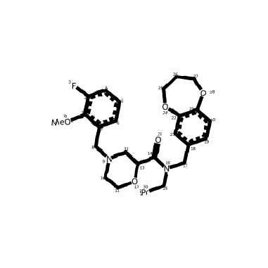 COc1c(F)cccc1CN1CCOC(C(=O)N(Cc2ccc3c(c2)OCCCO3)CC(C)C)C1